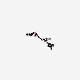 CCCCCC[C@H](C/C=C\CCCCCCCC(=O)OC1CC2C1C1C3CC(O)C3C21)OC(=O)CCCC[C@@H]1SC[C@@H]2NC(=O)N[C@@H]21